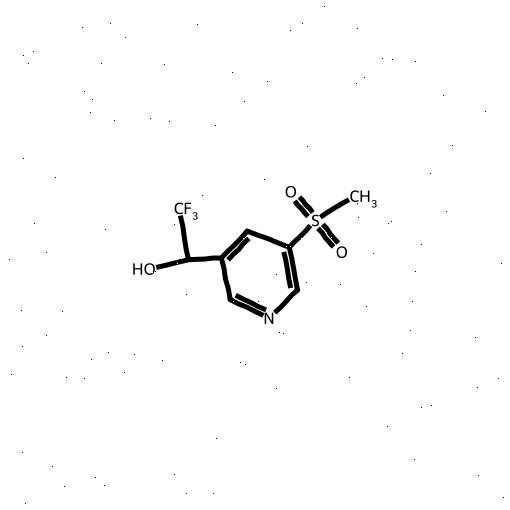 CS(=O)(=O)c1cncc(C(O)C(F)(F)F)c1